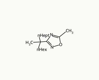 CCCCCCCC(C)(CCCCCC)c1noc(C)n1